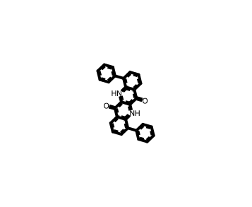 O=c1c2cccc(-c3ccccc3)c2[nH]c2c(=O)c3cccc(-c4ccccc4)c3[nH]c12